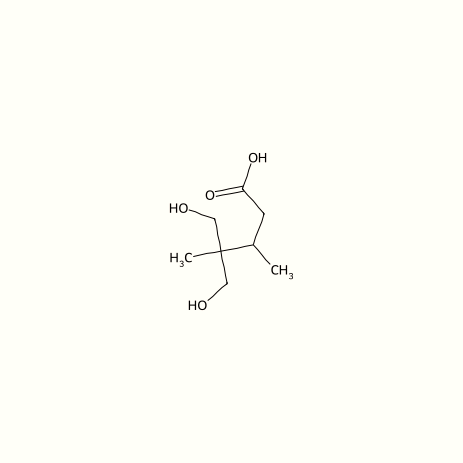 CC(CC(=O)O)C(C)(CO)CO